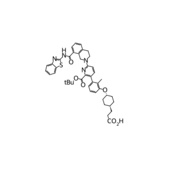 Cc1c(O[C@H]2CC[C@H](CCC(=O)O)CC2)cccc1-c1ccc(N2CCc3cccc(C(=O)Nc4nc5ccccc5s4)c3C2)nc1C(=O)OC(C)(C)C